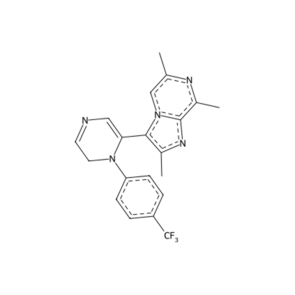 Cc1cn2c(C3=CN=CCN3c3ccc(C(F)(F)F)cc3)c(C)nc2c(C)n1